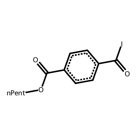 CCCCCOC(=O)c1ccc(C(=O)I)cc1